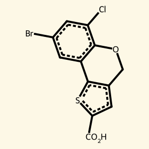 O=C(O)c1cc2c(s1)-c1cc(Br)cc(Cl)c1OC2